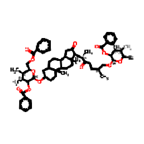 CCC1O[C@@H](OC[C@@H](C)CCC(=O)[C@@H](C)C2C(=O)CC3C4CCC5CC(O[C@@H]6OC(COC(=O)c7ccccc7)[C@H](C)[C@H](C)C6OC(=O)c6ccccc6)CCC5(C)C4CCC32C)C(OC(=O)c2ccccc2)[C@@H](C)[C@H]1C